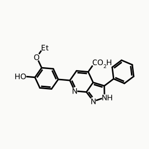 CCOc1cc(-c2cc(C(=O)O)c3c(-c4ccccc4)[nH]nc3n2)ccc1O